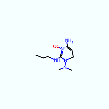 CCCNC1=[N+]([O-])C(N)=CCN1N(C)C